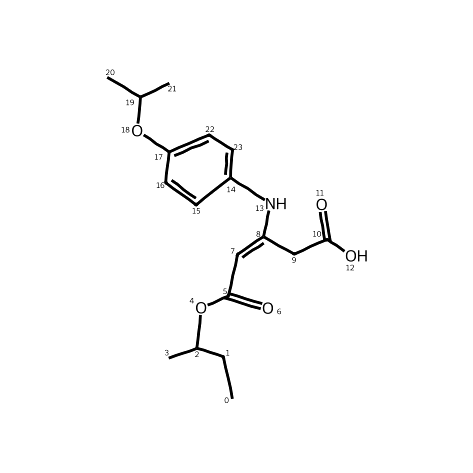 CCC(C)OC(=O)C=C(CC(=O)O)Nc1ccc(OC(C)C)cc1